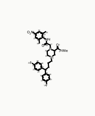 CNC(=O)C1CN(CCCC(c2ccc(F)cc2)c2ccc(F)cc2)CCN1CC(=O)Nc1c(C)cc([N+](=O)[O-])cc1C